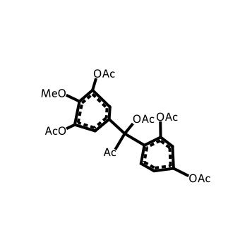 COc1c(OC(C)=O)cc(C(OC(C)=O)(C(C)=O)c2ccc(OC(C)=O)cc2OC(C)=O)cc1OC(C)=O